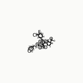 CC(=O)c1ccc2c(c1)[C@H](NC(=O)c1ccc(F)c(Cl)c1)[C@H](OC(=O)OCCN1CCOCC1)C(C)(C)O2